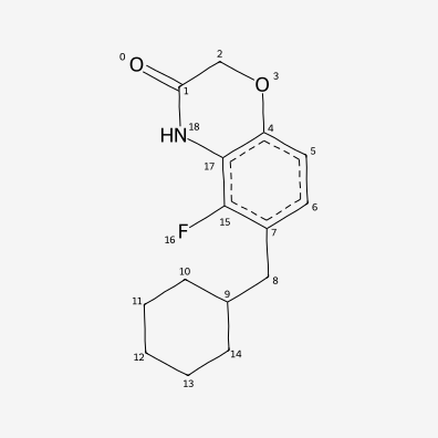 O=C1COc2ccc(CC3CCCCC3)c(F)c2N1